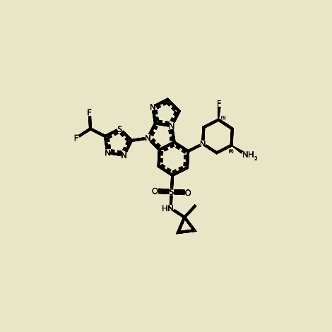 CC1(NS(=O)(=O)c2cc(N3C[C@H](N)C[C@H](F)C3)c3c(c2)n(-c2nnc(C(F)F)s2)c2nccn32)CC1